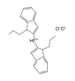 CCCC1[C]([Hf+2][C]2=Cc3ccccc3C2CCC)=Cc2ccccc21.[Cl-].[Cl-]